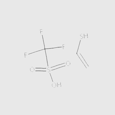 C=CS.O=S(=O)(O)C(F)(F)F